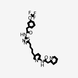 O=C(Cc1ccccn1)Nc1ccc(CCCCc2nnc(NC(=O)Cc3cccc(OC(F)(F)F)c3)s2)cn1